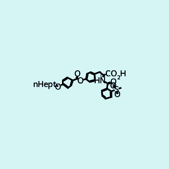 CCCCCCCOc1ccc(C(=O)Oc2ccc(C[C@H](NC(=O)c3ccccc3S(C)(=O)=O)C(=O)O)cc2)cc1